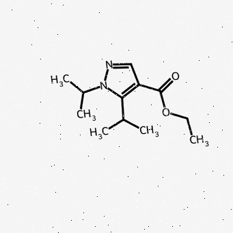 CCOC(=O)c1cnn(C(C)C)c1C(C)C